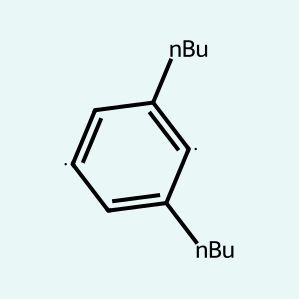 CCCCc1[c]c(CCCC)c[c]c1